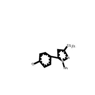 CCCn1nc(C(=O)OCC)cc1-c1ccc(Cl)cc1